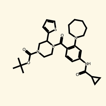 CC(C)(C)OC(=O)N1CCN(C(=O)c2ccc(NC(=O)C3CC3)cc2N2CCCCCC2)C(c2cccs2)C1